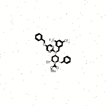 CC[C@@H]1C[C@H](N(Cc2cc(C(F)(F)F)cc(C(F)(F)F)c2)c2ncc(OCc3ccccc3)cn2)C[C@H](Cc2ccccc2)N1C(=O)OC(C)(C)C